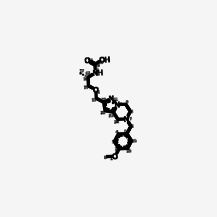 COc1ccc(CN2CCn3nc(COC[C@H](C)NC(=O)O)cc3C2)cc1